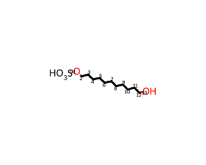 O=S(=O)(O)OCCCCCCCCCCCO